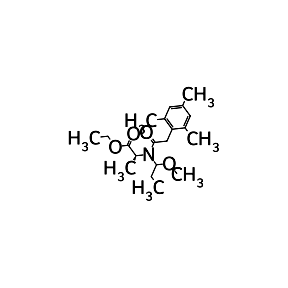 CCOC(=O)[C@H](C)N(C(=O)Cc1c(C)cc(C)cc1C)C(CC)OC